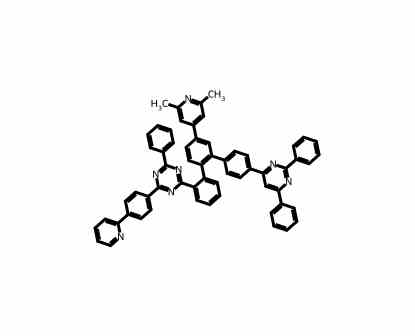 Cc1cc(-c2ccc(-c3ccccc3-c3nc(-c4ccccc4)nc(-c4ccc(-c5ccccn5)cc4)n3)c(-c3ccc(-c4cc(-c5ccccc5)nc(-c5ccccc5)n4)cc3)c2)cc(C)n1